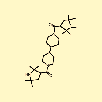 CN1C(C)(C)CC(C(=O)N2CCC(C3CCN(C(=O)C4CC(C)(C)NC4(C)C)CC3)CC2)C1(C)C